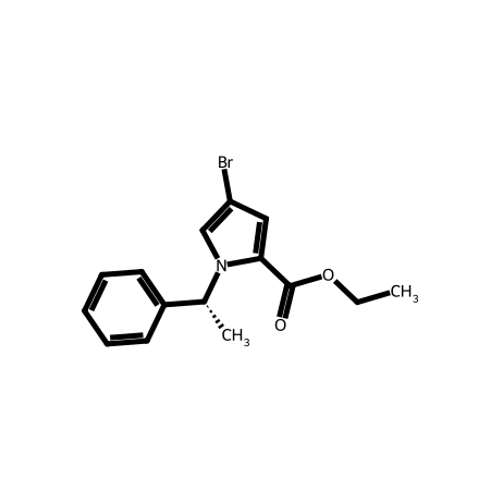 CCOC(=O)c1cc(Br)cn1[C@H](C)c1ccccc1